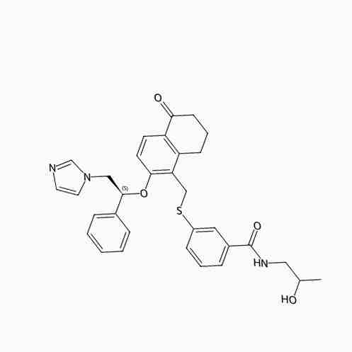 CC(O)CNC(=O)c1cccc(SCc2c(O[C@H](Cn3ccnc3)c3ccccc3)ccc3c2CCCC3=O)c1